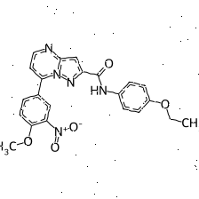 CCOc1ccc(NC(=O)c2cc3nccc(-c4ccc(OC)c([N+](=O)[O-])c4)n3n2)cc1